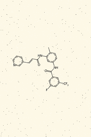 Cc1ccc(NC(=O)c2cc(F)cc(C(F)(F)F)c2)cc1NC(=O)/C=C/c1cccnc1